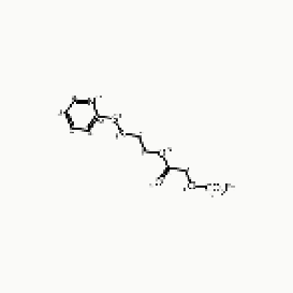 CCOC(=O)OCC(=O)OCCSSc1ccccn1